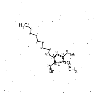 CCCCCCCCOc1cc(CBr)c(OC)cc1CBr